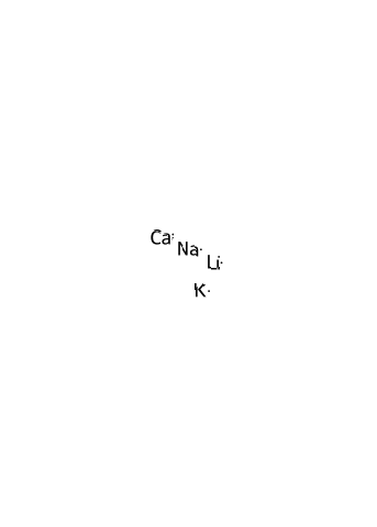 [Ca].[K].[Li].[Na]